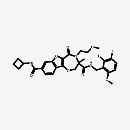 COCCN1C(=O)c2oc3cc(C(=O)NC4CCC4)ccc3c2OCC1(C)C(=O)NCc1c(OC)ccc(F)c1F